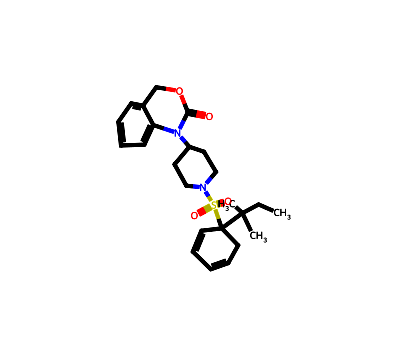 CCC(C)(C)C1(S(=O)(=O)N2CCC(N3C(=O)OCc4ccccc43)CC2)C=CC=CC1